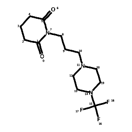 O=C1CCCC(=O)N1CCCN1CCN(C(F)(F)F)CC1